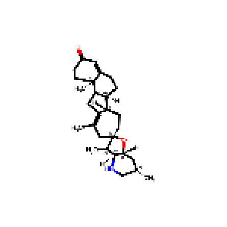 CC1=C2CC3[C@@H](CCC4=CC(=O)CC[C@@]43C)[C@@H]2CC[C@@]2(C1)O[C@@H]1C[C@H](C)CN[C@H]1[C@H]2C